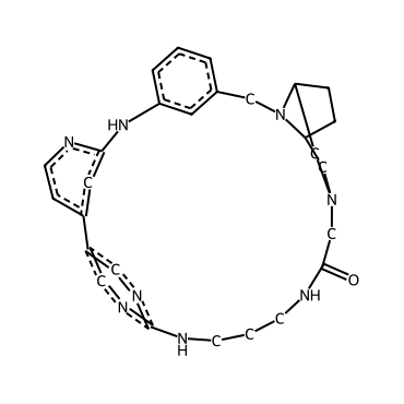 O=C1CN2CC3CCC(C2)N3Cc2cccc(c2)Nc2cc(ccn2)-c2cnc(nc2)NCCCN1